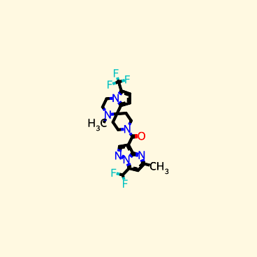 Cc1cc(C(F)F)n2ncc(C(=O)N3CCC4(CC3)c3ccc(C(F)(F)F)n3CCN4C)c2n1